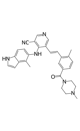 Cc1ccc(C(=O)N2CCN(C)CC2)cc1C=Cc1cncc(C#N)c1Nc1ccc2[nH]ccc2c1C